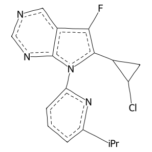 CC(C)c1cccc(-n2c(C3CC3Cl)c(F)c3cncnc32)n1